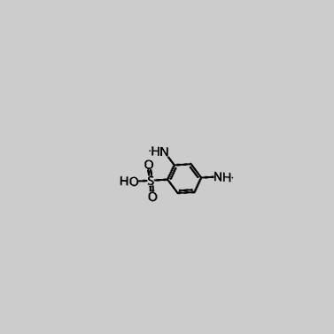 [NH]c1ccc(S(=O)(=O)O)c([NH])c1